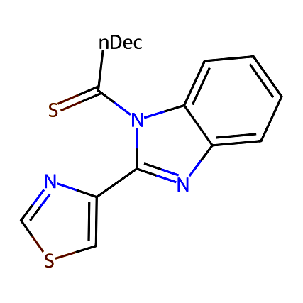 CCCCCCCCCCC(=S)n1c(-c2cscn2)nc2ccccc21